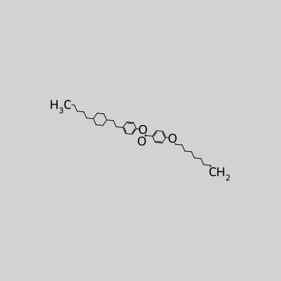 C=CCCCCCCCOc1ccc(C(=O)Oc2ccc(CCC3CCC(CCCCC)CC3)cc2)cc1